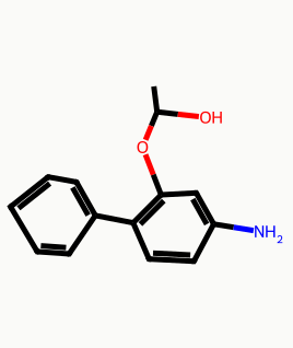 CC(O)Oc1cc(N)ccc1-c1ccccc1